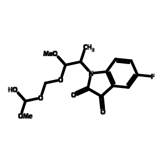 COC(O)OCOC(OC)C(C)N1C(=O)C(=O)c2cc(F)ccc21